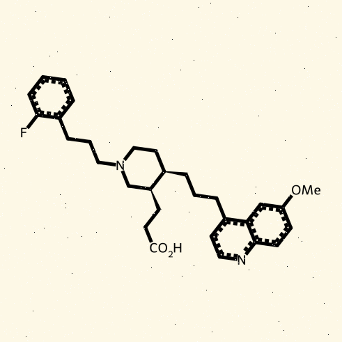 COc1ccc2nccc(CCC[C@@H]3CCN(CCCc4ccccc4F)C[C@@H]3CCC(=O)O)c2c1